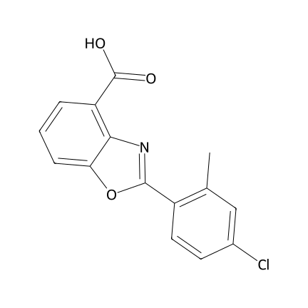 Cc1cc(Cl)ccc1-c1nc2c(C(=O)O)cccc2o1